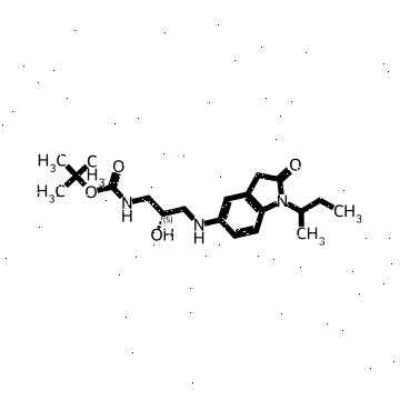 CCC(C)N1C(=O)Cc2cc(NC[C@H](O)CNC(=O)OC(C)(C)C)ccc21